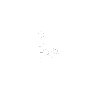 Cn1c(C2CC2)nc2c3cc(C(=O)NCc4ccc(Cl)cc4)c(=O)n(CC(=O)N4CC(C)(C)C4)c3ncc21